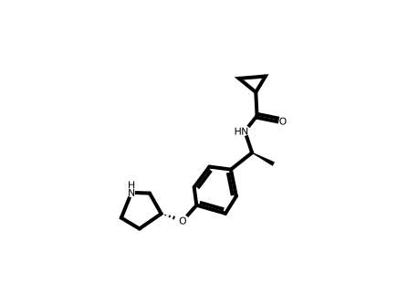 C[C@H](NC(=O)C1CC1)c1ccc(O[C@@H]2CCNC2)cc1